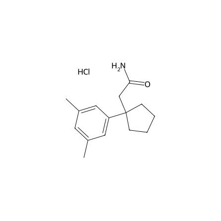 Cc1cc(C)cc(C2(CC(N)=O)CCCC2)c1.Cl